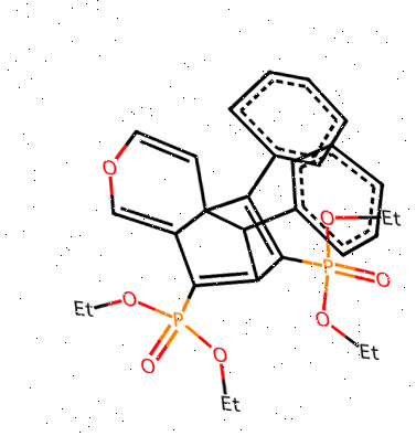 CCOP(=O)(OCC)C1=C2C(P(=O)(OCC)OCC)=C(c3ccccc3)C3(C=COC=C13)C2c1ccccc1